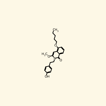 CCCCCOc1cccc2c(=O)n(CCc3ccc(O)cc3)c(OC)cc12